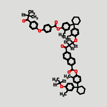 CCC(C)(CC)Oc1ccc(C2(c3ccc(OC(=O)c4ccc5cc(C(=O)C(CC)(CC)C(CC)(CC)Oc6ccc(C7(c8ccc(OC(=O)c9ccc(Oc%10ccc(C(=O)C(C)(C)CC)cc%10)cc9)c(C)c8)CCCCC7)cc6C)ccc5c4)c(C)c3)CCCCC2)cc1C